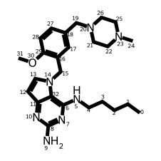 CCCCCNc1nc(N)nc2ccn(Cc3cc(CN4CCN(C)CC4)ccc3OC)c12